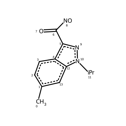 Cc1ccc2c(C(=O)N=O)nn(C(C)C)c2c1